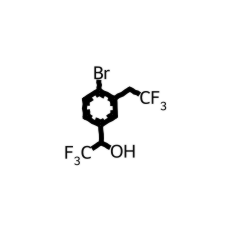 OC(c1ccc(Br)c(CC(F)(F)F)c1)C(F)(F)F